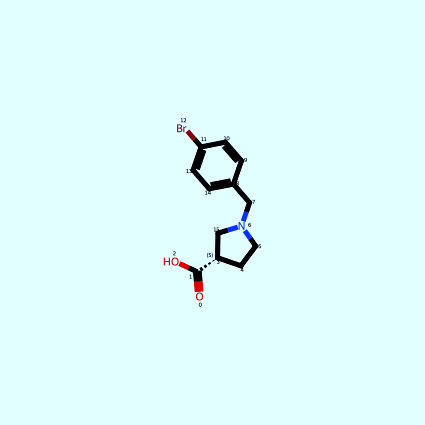 O=C(O)[C@H]1CCN(Cc2ccc(Br)cc2)C1